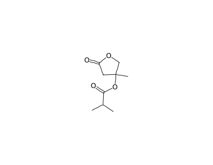 CC(C)C(=O)OC1(C)COC(=O)C1